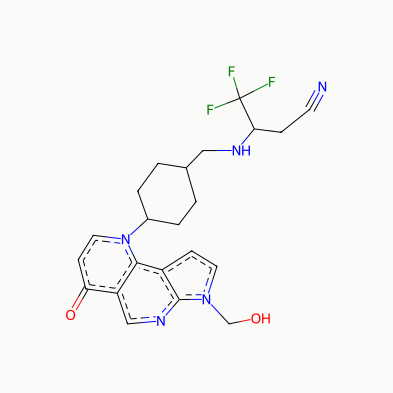 N#CCC(NCC1CCC(n2ccc(=O)c3cnc4c(ccn4CO)c32)CC1)C(F)(F)F